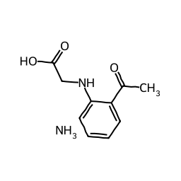 CC(=O)c1ccccc1NCC(=O)O.N